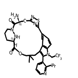 CC(C)c1ncccc1-c1c2c3cc(ccc3n1CC(F)(F)F)-c1nc(ns1)C[C@H](N)C(=O)N1CCC[C@H](N1)C(=O)OCC(C)(C)C2